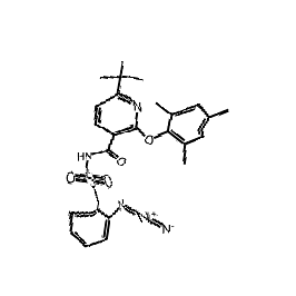 Cc1cc(C)c(Oc2nc(C(C)(C)C)ccc2C(=O)NS(=O)(=O)c2ccccc2N=[N+]=[N-])c(C)c1